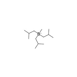 CC(C)C[B-](C)(CC(C)C)CC(C)C